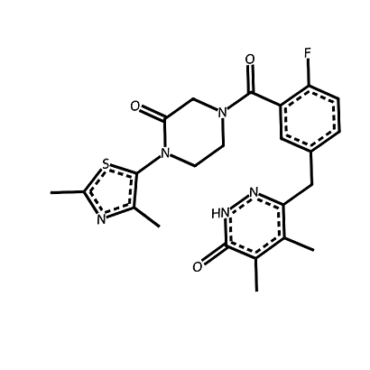 Cc1nc(C)c(N2CCN(C(=O)c3cc(Cc4n[nH]c(=O)c(C)c4C)ccc3F)CC2=O)s1